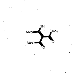 COC(=O)C(C(=O)OC)=C(S)SC